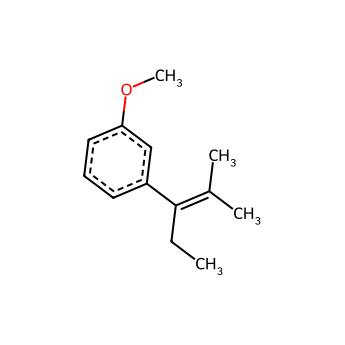 CCC(=C(C)C)c1cccc(OC)c1